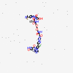 Cc1ncsc1-c1ccc(CNC(=O)[C@@H]2C[C@@H](O)CN2C(=O)[C@@H](NC(=O)CCOCCOCCNC(=O)CCC(=O)N2CCN(c3ccc(-c4cc(NC(=O)c5c[nH]c(=O)cc5C(F)(F)F)c(N5C[C@@H](C)N(C)[C@@H](C)C5)cc4F)cn3)CC2)C(C)(C)C)cc1